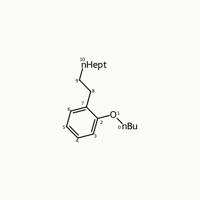 [CH2]CCCOc1ccccc1CCCCCCCCC